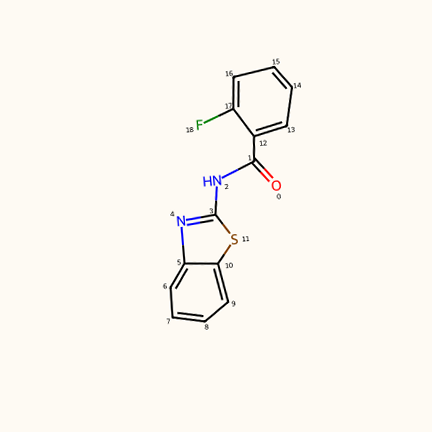 O=C(Nc1nc2ccccc2s1)c1ccccc1F